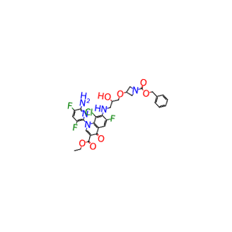 CCOC(=O)c1cn(-c2nc(N)c(F)cc2F)c2c(Cl)c(NCC(O)COC3CN(C(=O)OCc4ccccc4)C3)c(F)cc2c1=O